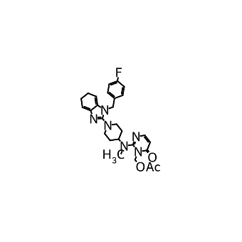 CC(=O)OCn1c(N(C)C2CCN(c3nc4c(n3Cc3ccc(F)cc3)=CCCC=4)CC2)nccc1=O